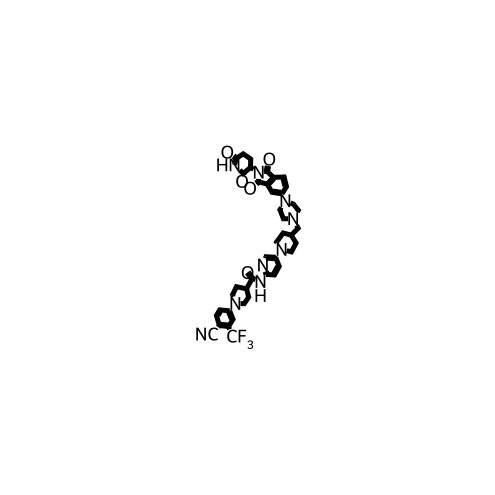 N#Cc1ccc(N2CCC(C(=O)Nc3ccc(N4CCC(CN5CCN(c6ccc7c(c6)C(=O)N(C6CCC(=O)NC6=O)C7=O)CC5)CC4)cn3)CC2)cc1C(F)(F)F